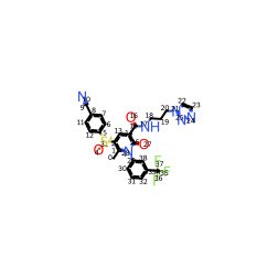 Cc1c([S+]([O-])c2ccc(C#N)cc2)cc(C(=O)NCCCn2ccnn2)c(=O)n1-c1cccc(C(F)(F)F)c1